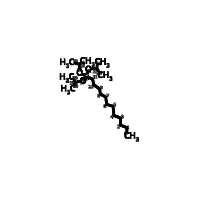 CCCCCCCCCCCC[Si](OC(C)C)(OC(C)C)OC(C)C